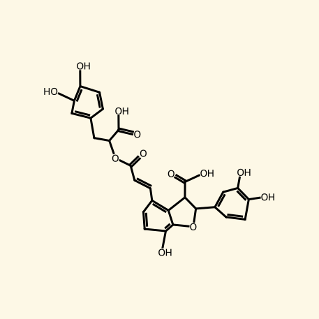 O=C(C=Cc1ccc(O)c2c1C(C(=O)O)C(c1ccc(O)c(O)c1)O2)OC(Cc1ccc(O)c(O)c1)C(=O)O